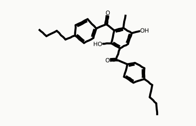 CCCCc1ccc(C(=O)c2cc(O)c(C)c(C(=O)c3ccc(CCCC)cc3)c2O)cc1